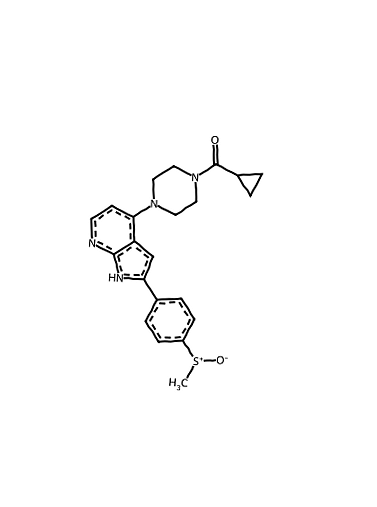 C[S+]([O-])c1ccc(-c2cc3c(N4CCN(C(=O)C5CC5)CC4)ccnc3[nH]2)cc1